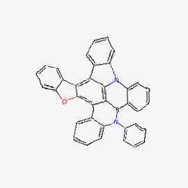 c1ccc(N2B3c4ccccc4-n4c5ccccc5c5c6c(oc7ccccc76)c(c3c54)-c3ccccc32)cc1